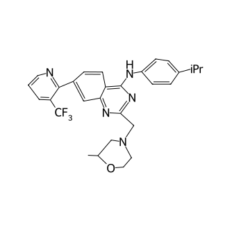 CC1CN(Cc2nc(Nc3ccc(C(C)C)cc3)c3ccc(-c4ncccc4C(F)(F)F)cc3n2)CCO1